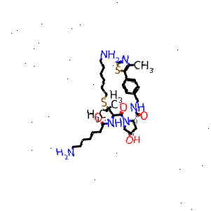 Cc1ncsc1-c1ccc(CNC(=O)[C@@H]2C[C@@H](O)CN2C(=O)C(NC(=O)CCCCCCN)C(C)(C)SCCCCCCN)cc1